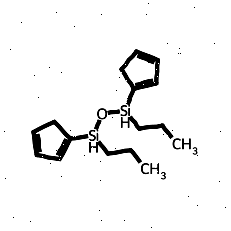 CCC[SiH](O[SiH](CCC)C1=CC=CC1)C1=CC=CC1